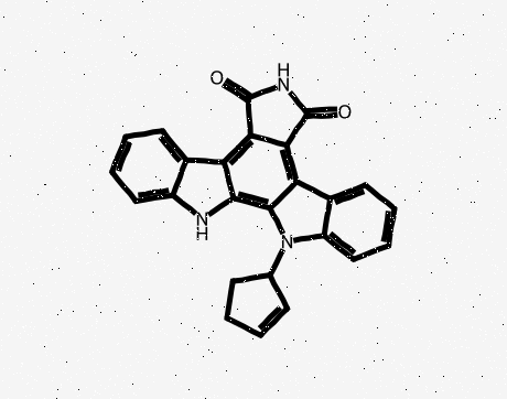 O=C1NC(=O)c2c1c1c3ccccc3[nH]c1c1c2c2ccccc2n1C1C=CCC1